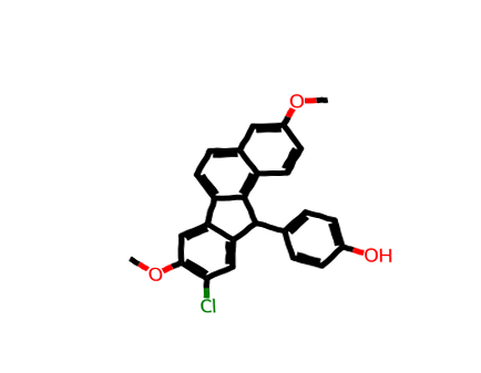 COc1ccc2c3c(ccc2c1)-c1cc(OC)c(Cl)cc1C3c1ccc(O)cc1